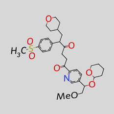 COCC(OC1CCCCO1)c1ccc(C(=O)CCC(=O)C(CC2CCOCC2)c2ccc(S(C)(=O)=O)cc2)nc1